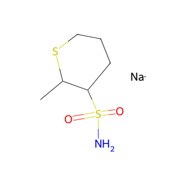 CC1SCCCC1S(N)(=O)=O.[Na]